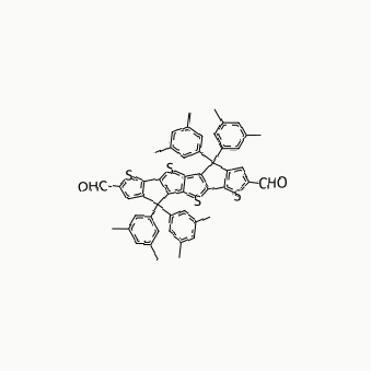 Cc1cc(C)cc(C2(c3cc(C)cc(C)c3)c3cc(C=O)sc3-c3sc4c5c(sc4c32)-c2sc(C=O)cc2C5(c2cc(C)cc(C)c2)c2cc(C)cc(C)c2)c1